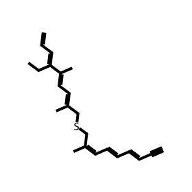 C#C/C=C/C=C/C=C(/C)CSC/C(C)=C/C=C(C)/C(=C/C=C)CC